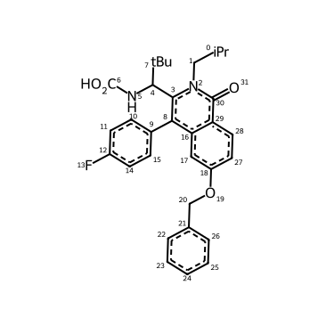 CC(C)Cn1c(C(NC(=O)O)C(C)(C)C)c(-c2ccc(F)cc2)c2cc(OCc3ccccc3)ccc2c1=O